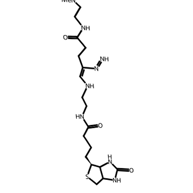 CNCCNC(=O)CC/C(=C/NCCNC(=O)CCC[C@@H]1SCC2NC(=O)NC21)N=N